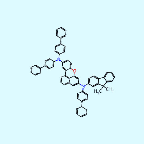 CC1(C)c2ccccc2-c2ccc(N(c3ccc(C4C=CC=CC4)cc3)c3cc4c5c(cccc5c3)-c3cc(N(c5ccc(-c6ccccc6)cc5)c5ccc(-c6ccccc6)cc5)ccc3O4)cc21